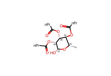 CCCC(=O)O[C@@H]1[C@@H](OC(=O)CCC)[C@H](C)O[C@H](O)[C@@H]1OC(=O)CCC